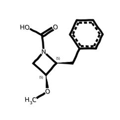 CO[C@H]1CN(C(=O)O)[C@H]1Cc1ccccc1